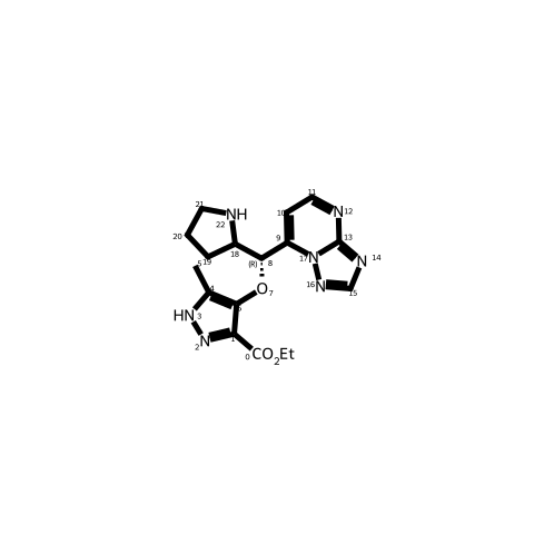 CCOC(=O)c1n[nH]c(C)c1O[C@@H](c1ccnc2ncnn12)C1CCCN1